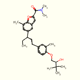 CCC(CCc1ccc(OCC(O)C(C)(C)C)c(C)c1)c1cc(C)c2oc(C(=O)N(C)C)cc2c1